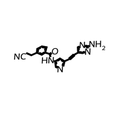 N#CCCc1cccc(C(=O)Nc2cncc(C#Cc3cnc(N)nc3)c2)c1